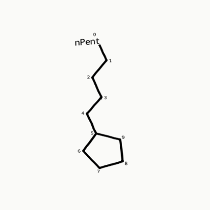 CCCCCCC[CH]CC1CCCC1